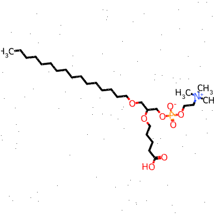 CCCCCCCCCCCCCCCCOCC(COP(=O)([O-])OCC[N+](C)(C)C)OCCCCC(=O)O